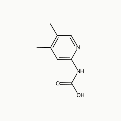 Cc1cnc(NC(=O)O)cc1C